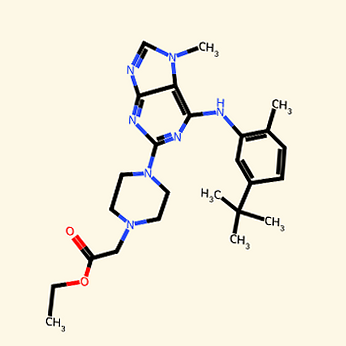 CCOC(=O)CN1CCN(c2nc(Nc3cc(C(C)(C)C)ccc3C)c3c(ncn3C)n2)CC1